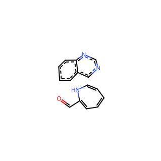 O=CC1=CC=CC=CN1.c1ccc2ncncc2c1